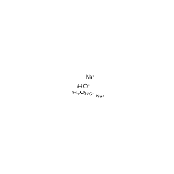 O.[Na+].[Na+].[OH-].[OH-]